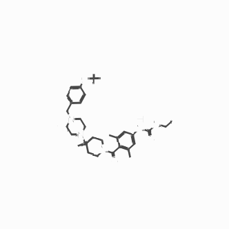 CCNC(=O)Nc1cc(C)c(C(=O)N2CCC(C)(N3CCN(Cc4ccc(OC(F)(F)F)cc4)[C@@H](C)C3)CC2)c(C)c1